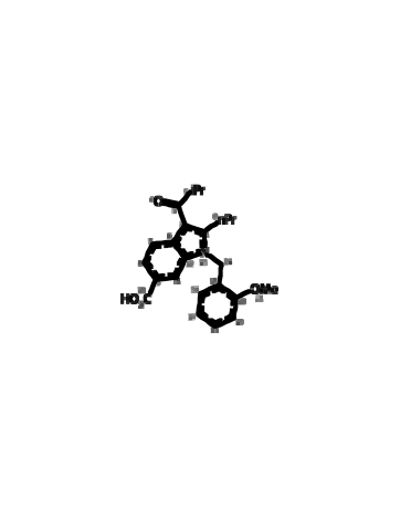 CCCc1c(C(=O)C(C)C)c2ccc(C(=O)O)cc2n1Cc1ccccc1OC